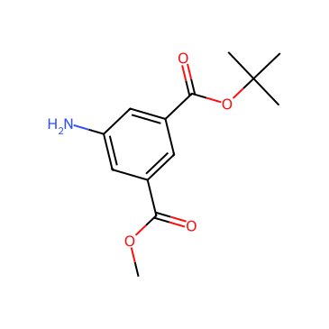 COC(=O)c1cc(N)cc(C(=O)OC(C)(C)C)c1